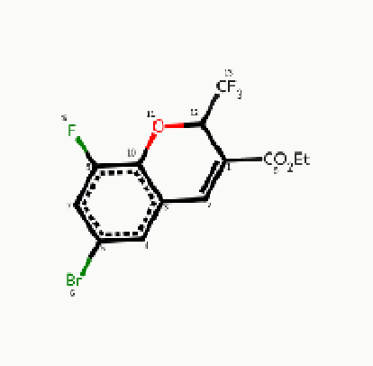 CCOC(=O)C1=Cc2cc(Br)cc(F)c2OC1C(F)(F)F